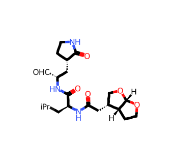 CC(C)C[C@H](NC(=O)C[C@@H]1CO[C@@H]2OCC[C@H]12)C(=O)N[C@H](C=O)C[C@@H]1CCNC1=O